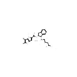 CN(C(=O)[C@@H](O)CC(N)=O)[C@@H]1c2ccccc2C[C@H]1NC(=O)c1cc2sc(Cl)c(Cl)c2[nH]1